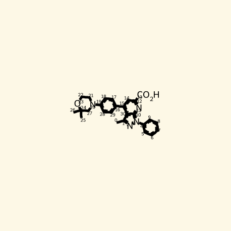 Cc1nn(-c2ccccc2)c2nc(C(=O)O)cc(-c3ccc(N4CCOC(C)(C)C4)cc3)c12